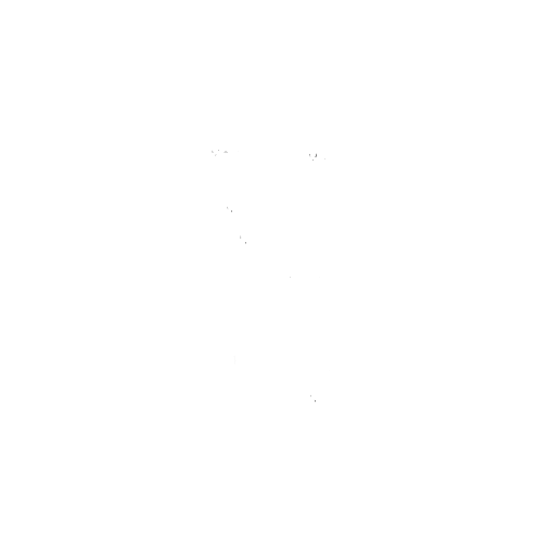 COc1cc(C(=O)Cc2c(Cl)cncc2Cl)nnc1OC